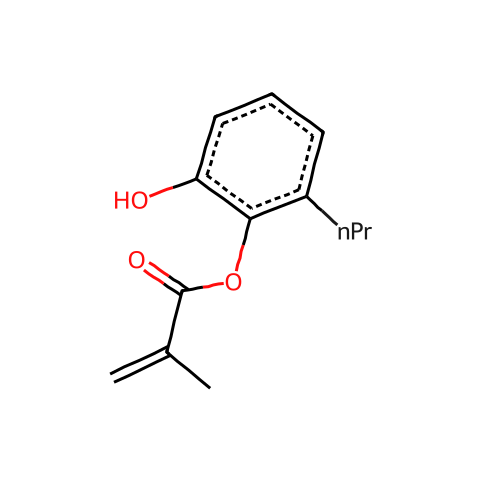 C=C(C)C(=O)Oc1c(O)cccc1CCC